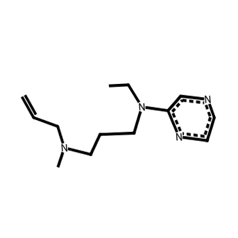 C=CCN(C)CCCN(CC)c1cnccn1